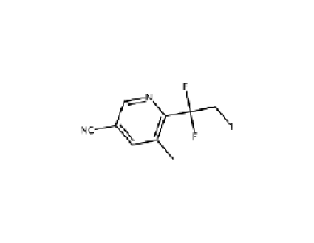 Cc1cc(C#N)cnc1C(F)(F)CI